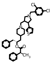 C[C@H](C(=O)O[C@H](Cc1ccccc1)CC1CCN(CC2CN(Cc3ccc(Cl)cc3Cl)CC2c2ccsc2)CC1)c1ccccc1